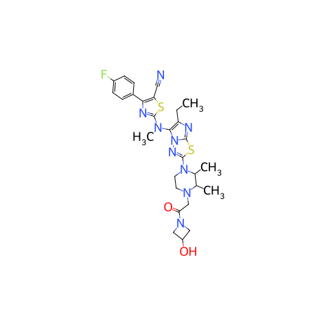 CCc1nc2sc(N3CCN(CC(=O)N4CC(O)C4)C(C)C3C)nn2c1N(C)c1nc(-c2ccc(F)cc2)c(C#N)s1